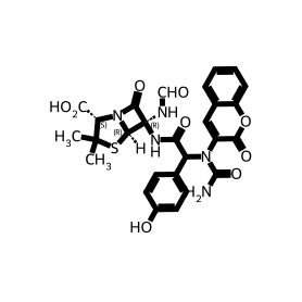 CC1(C)S[C@H]2N(C(=O)[C@@]2(NC=O)NC(=O)C(c2ccc(O)cc2)N(C(N)=O)c2cc3ccccc3oc2=O)[C@H]1C(=O)O